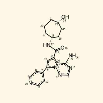 Nc1ncnn2c(-c3ccncc3)cc(C(=O)N[C@@H]3CCC[C@H](O)CC3)c12